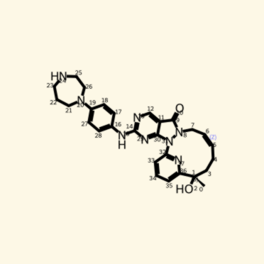 C[C@]1(O)CC/C=C\Cn2c(=O)c3cnc(Nc4ccc(N5CCCNCC5)cc4)nc3n2-c2cccc1n2